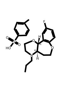 CCCN1CCO[C@@H]2c3cc(F)ccc3OCC[C@H]21.Cc1ccc(S(=O)(=O)O)cc1